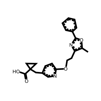 Cc1oc(-c2ccccc2)nc1CCOc1ccc(CC2(C(=O)O)CC2)cn1